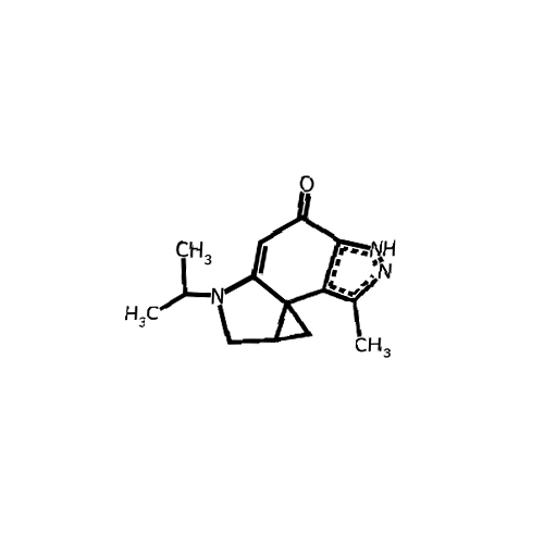 Cc1n[nH]c2c1C13CC1CN(C(C)C)C3=CC2=O